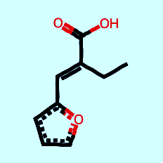 CC/C(=C\c1ccco1)C(=O)O